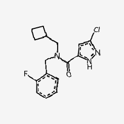 O=C(c1cc(Cl)n[nH]1)N(Cc1ccccc1F)CC1CCC1